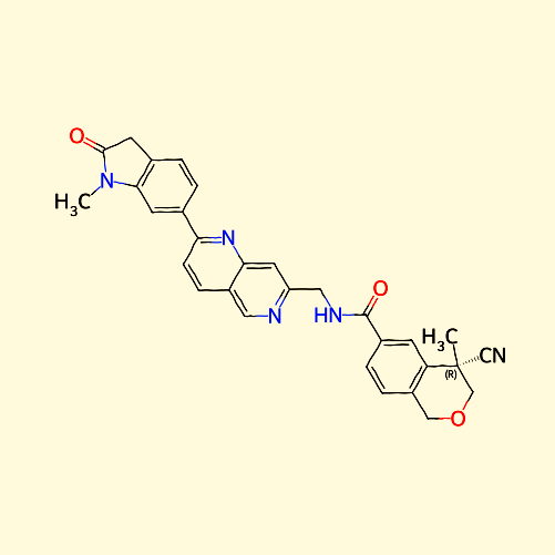 CN1C(=O)Cc2ccc(-c3ccc4cnc(CNC(=O)c5ccc6c(c5)[C@](C)(C#N)COC6)cc4n3)cc21